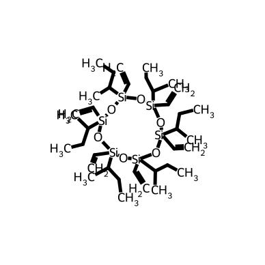 C=C[Si]1(C(C)CC)O[Si](C=C)(C(C)CC)O[Si](C=C)(C(C)CC)O[Si](C=C)(C(C)CC)O[Si](C=C)(C(C)CC)O[Si](C=C)(C(C)CC)O1